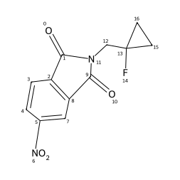 O=C1c2ccc([N+](=O)[O-])cc2C(=O)N1CC1(F)CC1